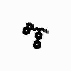 CCC(COc1ncnc2ccccc12)c1ccc(-c2ccccc2)cc1